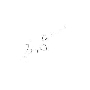 COC(=O)c1nn(C2CCOCC2)cc1NC(=O)c1cccc(-c2cnn(CCCCCCN)c2)n1